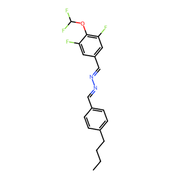 CCCCc1ccc(C=NN=Cc2cc(F)c(OC(F)F)c(F)c2)cc1